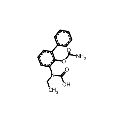 CCN(C(=O)O)c1cccc(-c2ccccc2)c1OC(N)=O